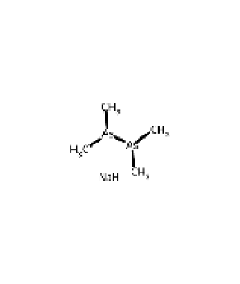 C[As](C)[As](C)C.[NaH]